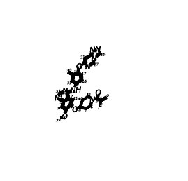 C=C(F)C(=O)N1CCC(Oc2cc3c(Nc4ccc(Oc5cc6nncn6cn5)c(C)c4)ncnc3cc2OC)CC1